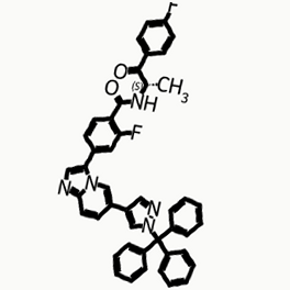 C[C@H](NC(=O)c1ccc(-c2cnc3ccc(-c4cnn(C(c5ccccc5)(c5ccccc5)c5ccccc5)c4)cn23)cc1F)C(=O)c1ccc(F)cc1